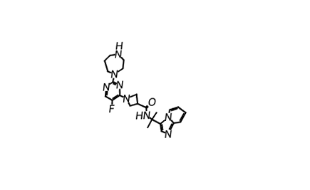 CC(C)(NC(=O)C1CN(c2nc(N3CCCNCC3)ncc2F)C1)c1cnc2ccccn12